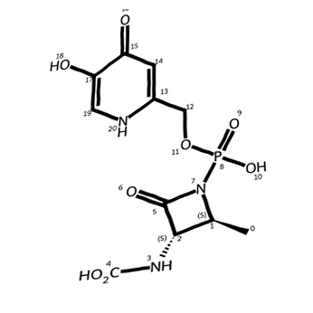 C[C@H]1[C@H](NC(=O)O)C(=O)N1P(=O)(O)OCc1cc(=O)c(O)c[nH]1